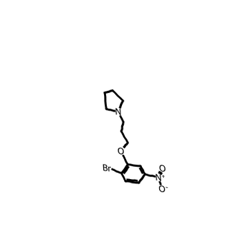 O=[N+]([O-])c1ccc(Br)c(OCCCN2CCCC2)c1